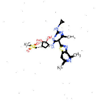 Cc1cc2sc(-c3c(C)nc(NC4CC4)nc3N[C@@H]3C[C@H](CS(C)(=O)=O)[C@@H](O)[C@H]3O)nc2c(C)n1